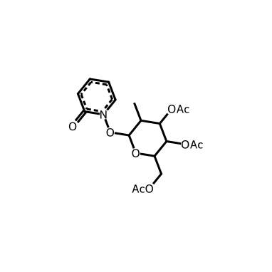 CC(=O)OCC1OC(On2ccccc2=O)C(C)C(OC(C)=O)C1OC(C)=O